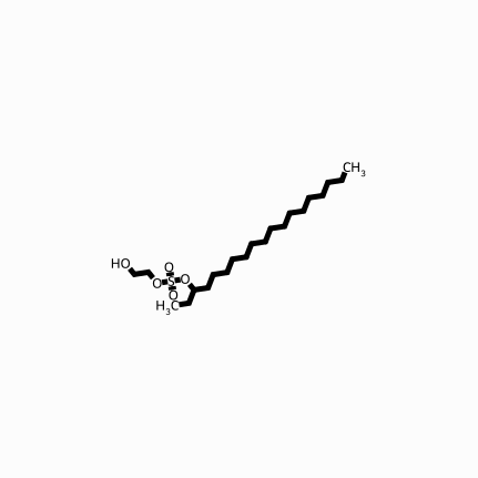 CCCCCCCCCCCCCCCCC(CC)OS(=O)(=O)OCCO